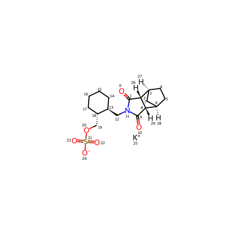 O=C1[C@@H]2[C@H]3CC[C@H](C3)[C@@H]2C(=O)N1C[C@@H]1CCCC[C@H]1COS(=O)(=O)[O-].[K+]